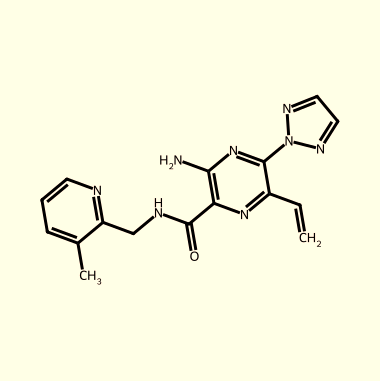 C=Cc1nc(C(=O)NCc2ncccc2C)c(N)nc1-n1nccn1